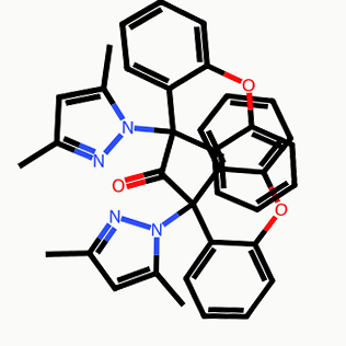 Cc1cc(C)n(C2(C(=O)C3(n4nc(C)cc4C)c4ccccc4Oc4ccccc43)c3ccccc3Oc3ccccc32)n1